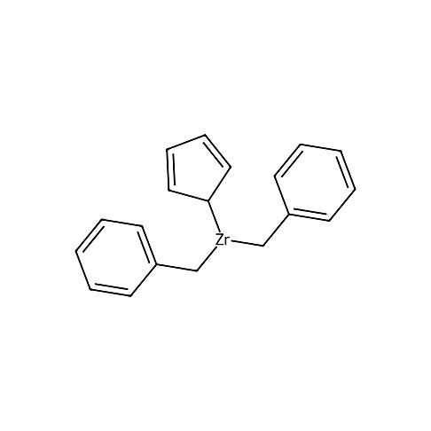 C1=C[CH]([Zr]([CH2]c2ccccc2)[CH2]c2ccccc2)C=C1